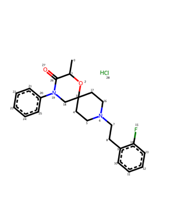 CC1OC2(CCN(CCc3ccccc3F)CC2)CN(c2ccccc2)C1=O.Cl